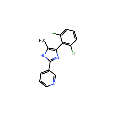 Cc1[nH]c(-c2cccnc2)nc1-c1c(Cl)cccc1Cl